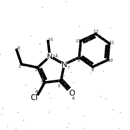 CCc1c(Cl)c(=O)n(-c2ccccc2)n1C